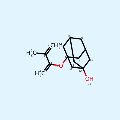 C=C(C)C(=C)OC12CC3CC(CC(O)(C3)C1)C2